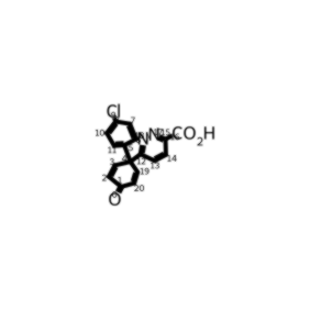 O=C1C=CC(c2ccc(Cl)cc2)(c2ccc(C(=O)O)nn2)C=C1